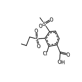 CCCS(=O)(=O)c1c(S(C)(=O)=O)ccc(C(=O)O)c1Cl